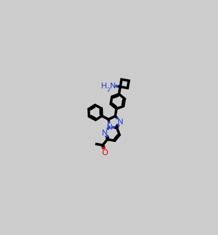 CC(=O)C1=NN2C(=NC(c3ccc(C4(N)CCC4)cc3)C2c2ccccc2)C=C1